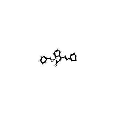 O=c1cc(/C=C/c2ccccc2)c2cncnc2n1OCc1ccccc1